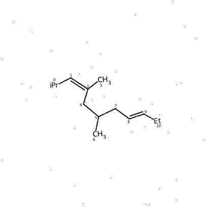 [CH2]C(C)C=C(C)CC(C)CC=CCC